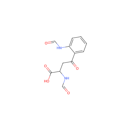 O=CNc1ccccc1C(=O)CC(NC=O)C(=O)O